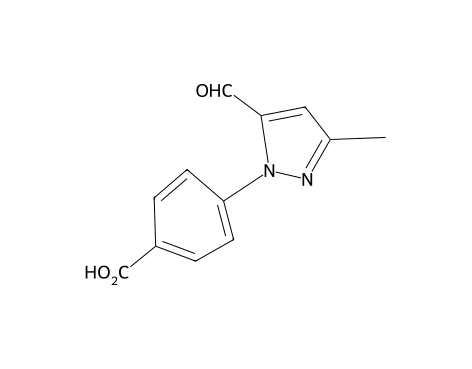 Cc1cc(C=O)n(-c2ccc(C(=O)O)cc2)n1